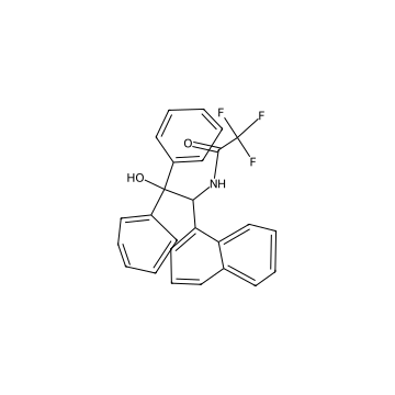 O=C(NC(c1cccc2ccccc12)C(O)(c1ccccc1)c1ccccc1)C(F)(F)F